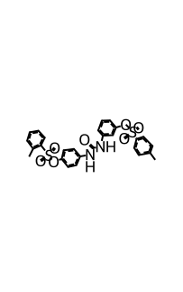 Cc1ccc(S(=O)(=O)Oc2cccc(NC(=O)Nc3ccc(OS(=O)(=O)c4ccccc4C)cc3)c2)cc1